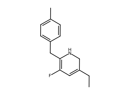 CCC1=CC(F)=C(Cc2ccc(C)cc2)NC1